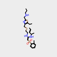 CC=CC(C)NC(=CS(=O)(=O)c1ccccc1C)NCCSCc1nc(CNCCC)sc1CC